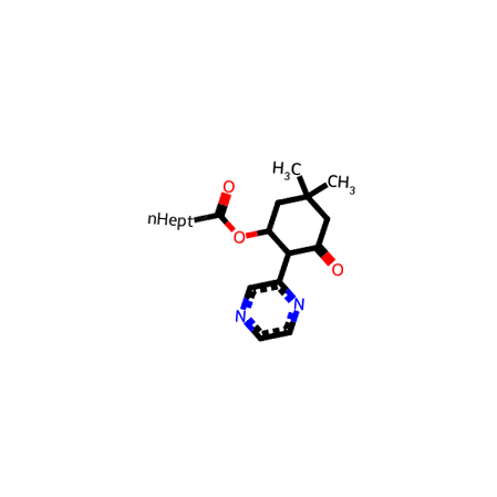 CCCCCCCC(=O)OC1CC(C)(C)CC(=O)C1c1cnccn1